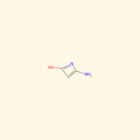 NC1=CC(O)=N1